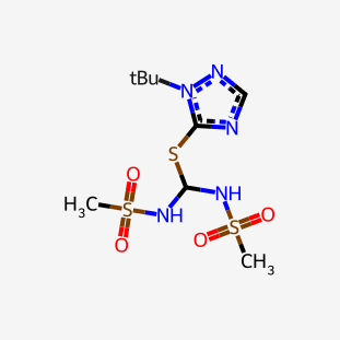 CC(C)(C)n1ncnc1SC(NS(C)(=O)=O)NS(C)(=O)=O